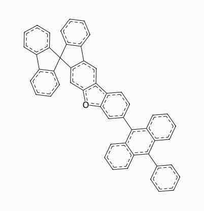 c1ccc(-c2c3ccccc3c(-c3ccc4c(c3)oc3cc5c(cc34)-c3ccccc3C53c4ccccc4-c4ccccc43)c3ccccc23)cc1